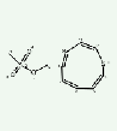 COS(C)(=O)=O.c1ccccsccc1